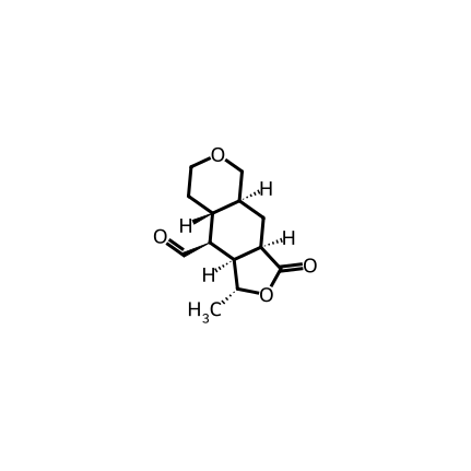 C[C@H]1OC(=O)[C@@H]2C[C@@H]3COCC[C@H]3[C@H](C=O)[C@H]12